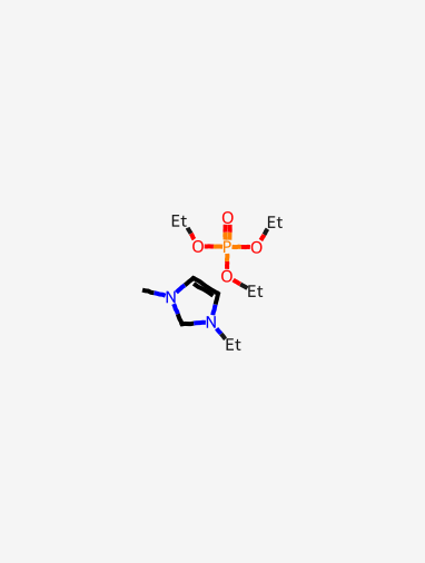 CCN1C=CN(C)C1.CCOP(=O)(OCC)OCC